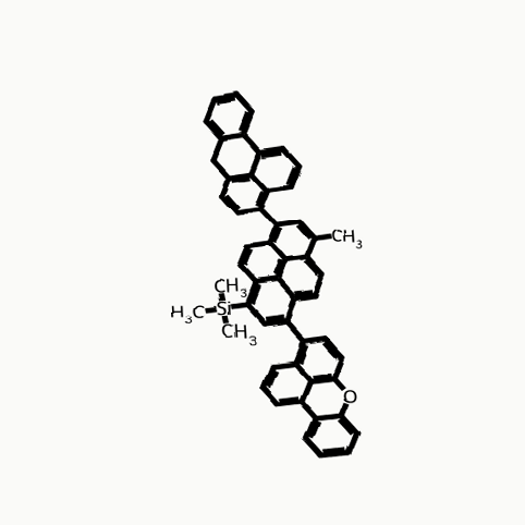 Cc1cc(-c2ccc3c4c(cccc24)-c2ccccc2C3)c2ccc3c([Si](C)(C)C)cc(-c4ccc5c6c(cccc46)-c4ccccc4O5)c4ccc1c2c43